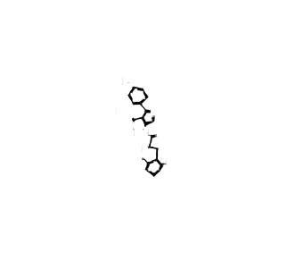 O=C(O)c1c(NC(=O)C(F)Cc2c(F)cccc2Cl)csc1-c1ccc(Br)cc1